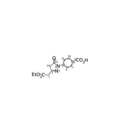 CCOC(=O)CC1=NN(c2ccc(C(=O)O)cc2)C(=O)C1